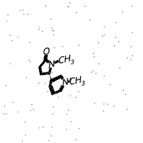 CN1C(=O)CC[C@H]1c1ccc[n+](C)c1